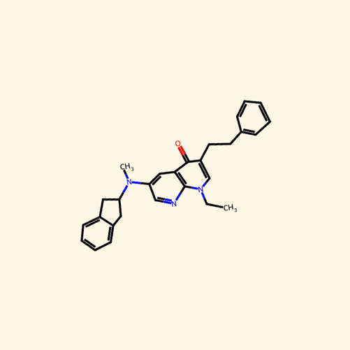 CCn1cc(CCc2ccccc2)c(=O)c2cc(N(C)C3Cc4ccccc4C3)cnc21